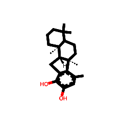 Cc1cc(O)c(O)c2c1[C@]1(C)CCC3C(C)(C)CCC[C@]3(C)[C@H]1C2